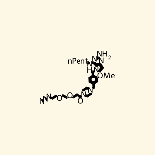 CCCCCNc1nc(N)nc2ccn(Cc3ccc(CN4CCN(C(=O)CCOCCOCCN=[N+]=[N-])CC4)cc3OC)c12